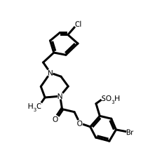 CC1CN(Cc2ccc(Cl)cc2)CCN1C(=O)COc1ccc(Br)cc1CS(=O)(=O)O